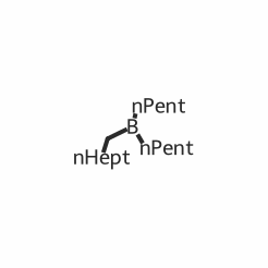 CCCCCCCCB(CCCCC)CCCCC